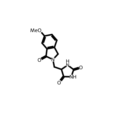 COc1ccc2c(c1)C(=O)N(CC1NC(=O)NC1=O)C2